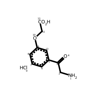 Cl.NCC(=O)c1cccc(OCC(=O)O)c1